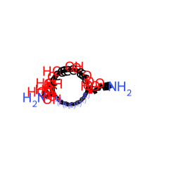 CC1/C=C/C=C/C=C/C=C/C=C/C=C/C=C/C(OC2OC(C)C(O)C(N)C2O)CC(O)C(C(=O)O)C(O)CC(=O)CC(O)CCCC(O)CC(=O)CCCC(=O)CC(=O)OC1C(C)CC(C)C(O)CC(=O)c1ccc(N)cc1